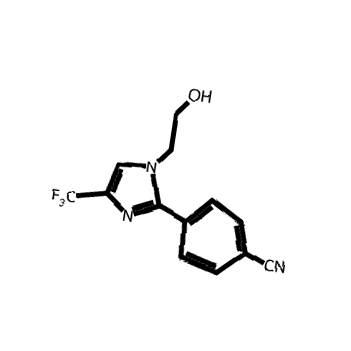 N#Cc1ccc(-c2nc(C(F)(F)F)cn2CCO)cc1